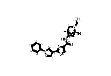 CCN1C[C@@H]2C[C@H]1CC2NC(=O)c1csc(-c2cnn(-c3ccccc3)c2)n1